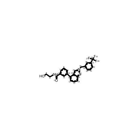 O=C(NCCO)c1cccc(-c2cccc3nn(Cc4cccc(C(F)(F)F)c4)cc23)c1